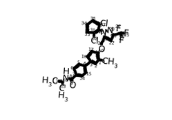 Cc1cc(-c2ccc(C(=O)NC(C)C)cc2)ccc1OCc1cc(C(F)(F)F)nn1-c1c(Cl)cccc1Cl